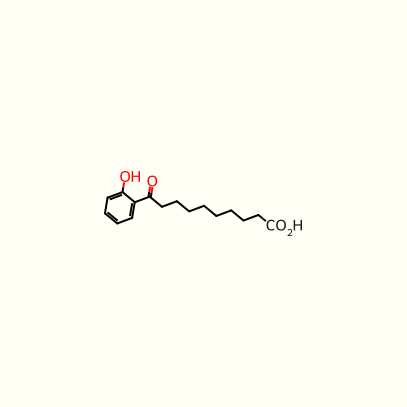 O=C(O)CCCCCCCCC(=O)c1ccccc1O